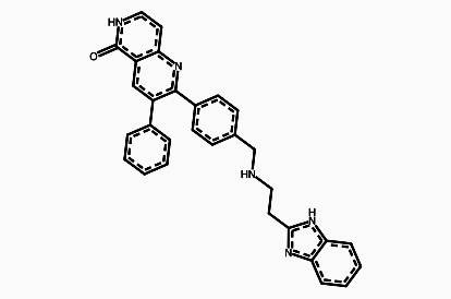 O=c1[nH]ccc2nc(-c3ccc(CNCCc4nc5ccccc5[nH]4)cc3)c(-c3ccccc3)cc12